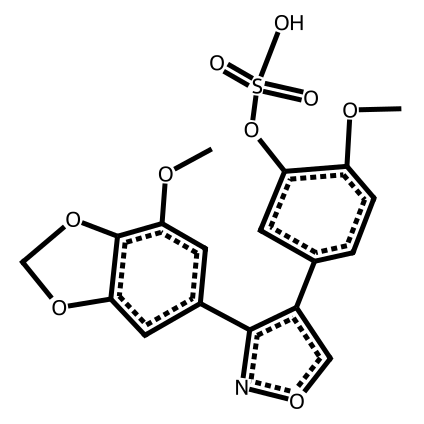 COc1ccc(-c2conc2-c2cc(OC)c3c(c2)OCO3)cc1OS(=O)(=O)O